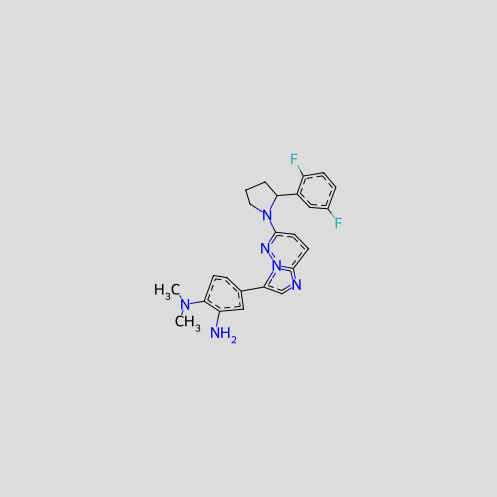 CN(C)c1ccc(-c2cnc3ccc(N4CCCC4c4cc(F)ccc4F)nn23)cc1N